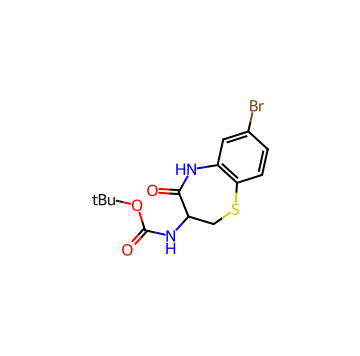 CC(C)(C)OC(=O)NC1CSc2ccc(Br)cc2NC1=O